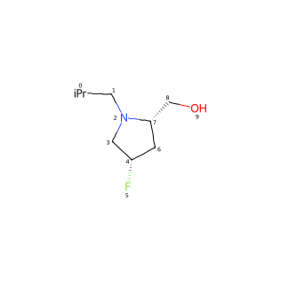 CC(C)CN1C[C@@H](F)C[C@H]1CO